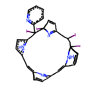 IC1C2=NC(I)(C=C2)C(I)(c2ccccn2)c2ccc([nH]2)C=C2C=CC(=N2)C=C2C=CC1(I)N2